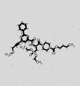 CCCCOC(=O)N1CCN(C(=O)C(CP(=O)(OCC)OCC)NC(=O)c2cc(C#CCOC)nc(-c3ccccc3)n2)CC1